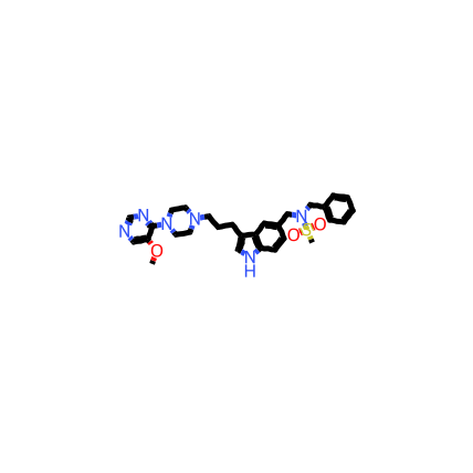 COc1cncnc1N1CCN(CCCc2c[nH]c3ccc(CN(Cc4ccccc4)S(C)(=O)=O)cc23)CC1